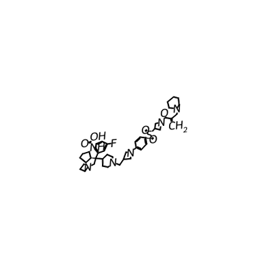 C=C(CN1CCCCC1)C(=O)N1CC(S(=O)(=O)c2ccc(N3CC(CN4CCC(C(CN5CCC5)(c5cccc(F)c5)[C@H]5CCC[C@@H]5NC(=O)O)CC4)C3)cc2)C1